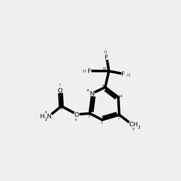 Cc1cc(OC(N)=O)nc(C(F)(F)F)c1